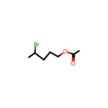 CC(=O)OCCCC(C)Br